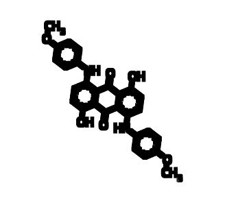 COc1ccc(Nc2ccc(O)c3c2C(=O)c2c(O)ccc(Nc4ccc(OC)cc4)c2C3=O)cc1